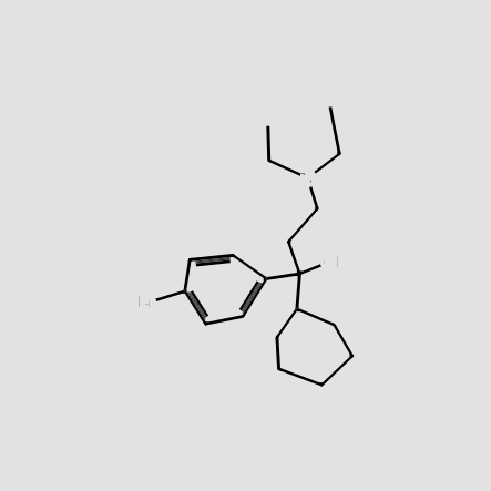 CCN(CC)CCC(O)(c1ccc(Br)cc1)C1CCCCC1